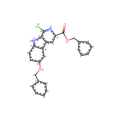 O=C(OCc1ccccc1)c1cc2c([nH]c3ccc(OCc4ccccc4)cc32)c(Cl)n1